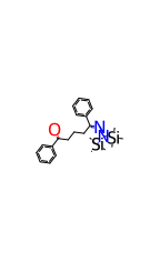 C[Si](C)(C)N(/N=C(\CCCC(=O)c1ccccc1)c1ccccc1)[Si](C)(C)C